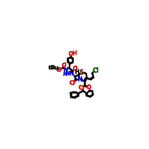 CC(C)(C)OC(=O)NC(C(=O)N[C@@H]1C(=O)N2C(C(=O)OC(c3ccccc3)c3ccccc3)=C(/C=C\CCl)CS[C@@H]12)c1ccc(O)cc1